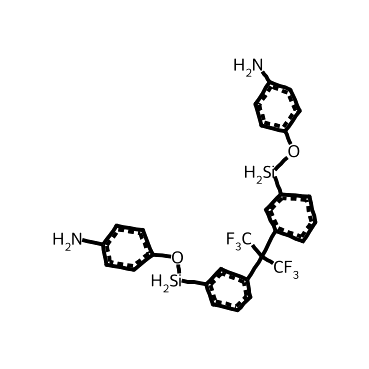 Nc1ccc(O[SiH2]c2cccc(C(c3cccc([SiH2]Oc4ccc(N)cc4)c3)(C(F)(F)F)C(F)(F)F)c2)cc1